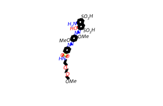 COCCOCCOCCCNS(=O)(=O)c1ccc(/N=N/c2cc(OC)c(/N=N/c3c(S(=O)(=O)O)cc4cc(S(=O)(=O)O)cc(N)c4c3O)cc2OC)cc1